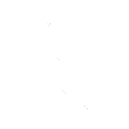 COc1ccc(Br)cc1S(=O)(=O)N(Cc1ccccc1)[C@@H]1C[C@H](CN)N(C(=O)O)C1